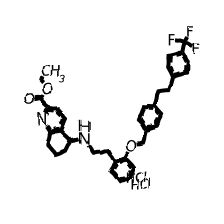 CCOC(=O)c1ccc2c(n1)CCCC2NCCc1ccccc1OCc1ccc(CCc2ccc(C(F)(F)F)cc2)cc1.Cl.Cl